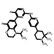 CC(C)N1CCOc2c(F)cc(-c3nc(Nc4ccc(C5CCN(C)C(C)(C)C5)cn4)ncc3F)cc21